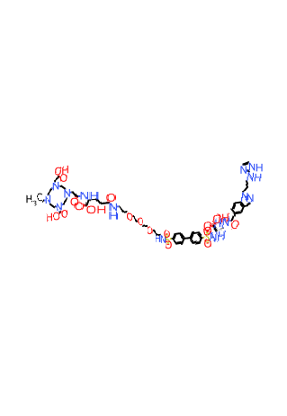 CCN1CCN(CC(=O)O)CCN(CC(=O)N[C@@H](CCC(=O)NCCCOCCOCCOCCCNS(=O)(=O)c2ccc(-c3ccc(S(=O)(=O)N[C@@H](CNC(=O)c4ccc5c(cnn5CCCNc5ncc[nH]5)c4)C(=O)O)cc3)cc2)C(=O)O)CCN(C(=O)O)CC1